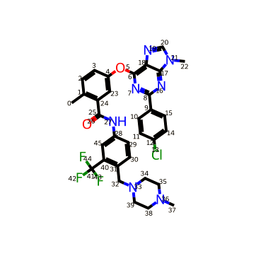 Cc1ccc(Oc2nc(-c3ccc(Cl)cc3)nc3c2ncn3C)cc1C(=O)Nc1ccc(CN2CCN(C)CC2)c(C(F)(F)F)c1